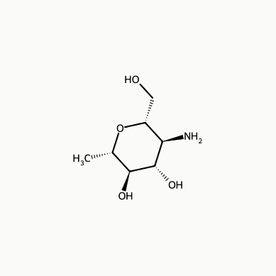 C[C@@H]1O[C@H](CO)[C@@H](N)[C@H](O)[C@H]1O